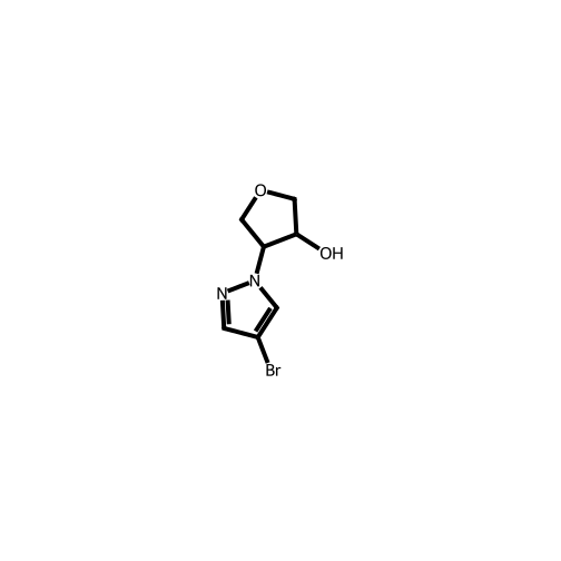 OC1COCC1n1cc(Br)cn1